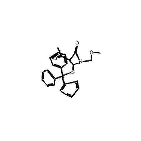 COCN1C(=O)C(C(C)=O)C1SC(c1ccccc1)(c1ccccc1)c1ccccc1